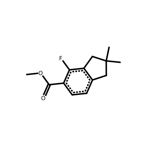 COC(=O)c1ccc2c(c1F)CC(C)(C)C2